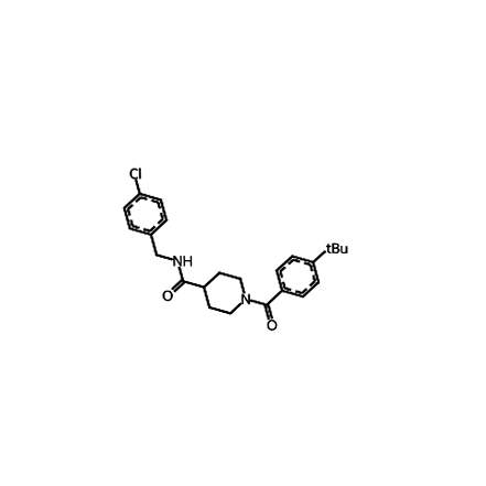 CC(C)(C)c1ccc(C(=O)N2CCC(C(=O)NCc3ccc(Cl)cc3)CC2)cc1